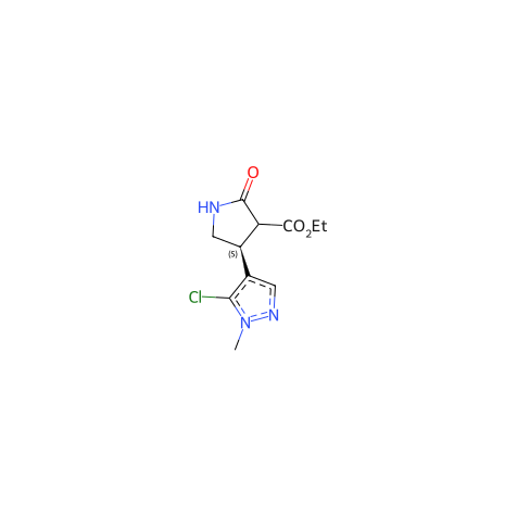 CCOC(=O)C1C(=O)NC[C@@H]1c1cnn(C)c1Cl